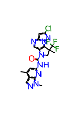 Cc1cc(NC(=O)N2CC(C)(C(F)(F)F)c3c2cnc2cc(Cl)nn32)nc2c1cnn2C